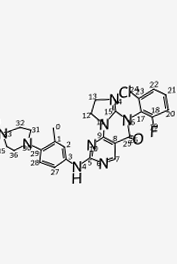 Cc1cc(Nc2ncc3c(n2)N2CCN=C2N(c2c(F)cccc2Cl)C3=O)ccc1N1CCN(C)CC1